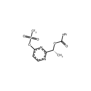 CCCC(=O)O[C@H](C)c1nccc(OS(=O)(=O)C(F)(F)F)n1